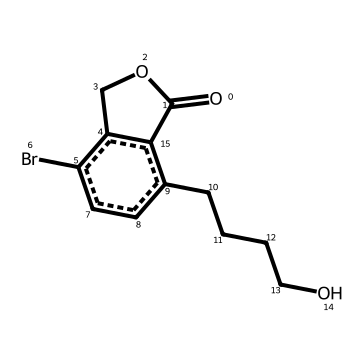 O=C1OCc2c(Br)ccc(CCCCO)c21